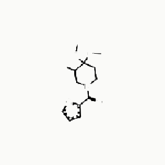 COC1(OC)CCN(C(=O)c2ccco2)CC1F